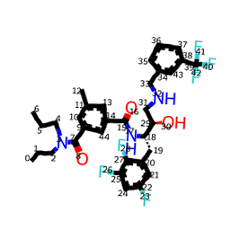 CCCN(CCC)C(=O)c1cc(C)cc(C(=O)N[C@@H](Cc2cc(F)cc(F)c2F)[C@H](O)CNCc2cccc(C(F)(F)F)c2)c1